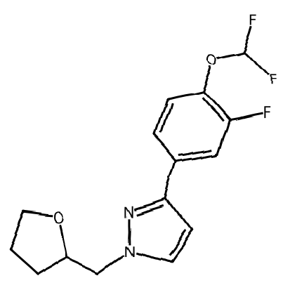 Fc1cc(-c2ccn(CC3CCCO3)n2)ccc1OC(F)F